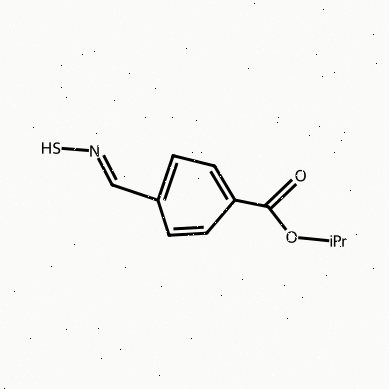 CC(C)OC(=O)c1ccc(/C=N/S)cc1